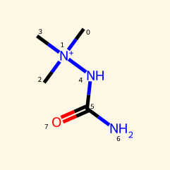 C[N+](C)(C)NC(N)=O